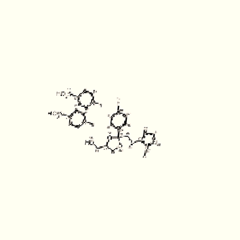 Cc1ccc(S(=O)(=O)O)cc1.Cc1ccc(S(=O)(=O)O)cc1.Cn1ncnc1SC[C@@]1(c2ccc(F)cc2)OC[C@@H](CO)O1